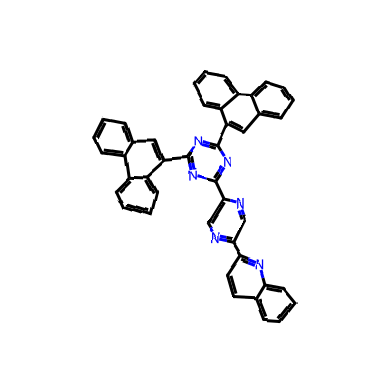 c1ccc2nc(-c3cnc(-c4nc(-c5cc6ccccc6c6ccccc56)nc(-c5cc6ccccc6c6ccccc56)n4)cn3)ccc2c1